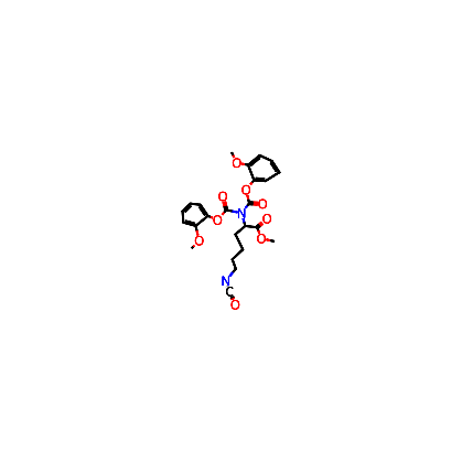 COC(=O)C(CCCCN=C=O)N(C(=O)Oc1ccccc1OC)C(=O)Oc1ccccc1OC